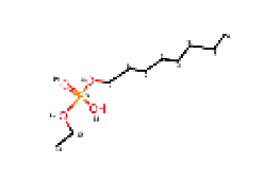 CCCCCCCCOP(=O)(O)OCC